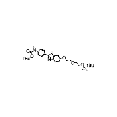 CN(C(=O)OC(C)(C)C)c1ccc(-c2nc3ccc(OCCOCCO[Si](C)(C)C(C)(C)C)cc3s2)cc1